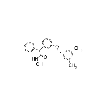 Cc1cc(C)cc(COc2cccc(C(C(=O)NO)c3ccccc3)c2)c1